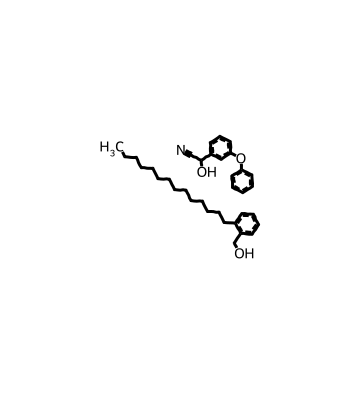 CCCCCCCCCCCCCCc1ccccc1CO.N#CC(O)c1cccc(Oc2ccccc2)c1